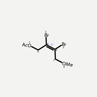 COC/C(Br)=C(/Br)COC(C)=O